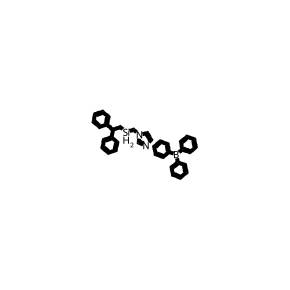 c1ccc(B(c2ccccc2)c2ccccc2)cc1.c1ccc(C(C[SiH2]Cn2ccnc2)c2ccccc2)cc1